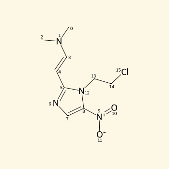 CN(C)C=Cc1ncc([N+](=O)[O-])n1CCCl